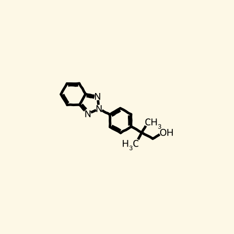 CC(C)(CO)c1ccc(-n2nc3ccccc3n2)cc1